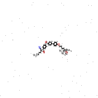 CCCC[CH](C#N)[Co](=[O])[c]1cc[c]([Co](=[O])[c]2ccc(-c3ccc(OCCCC[Si](C)(C)OC)cc3)cc2)cc1